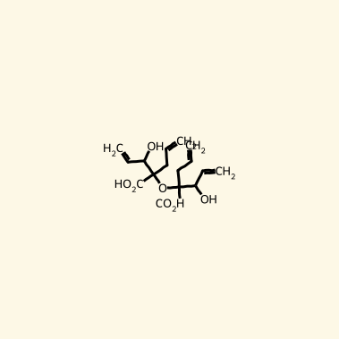 C=CCC(OC(CC=C)(C(=O)O)C(O)C=C)(C(=O)O)C(O)C=C